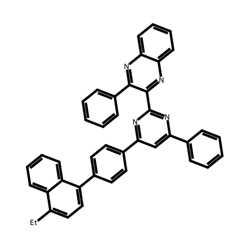 CCc1ccc(-c2ccc(-c3cc(-c4ccccc4)nc(-c4nc5ccccc5nc4-c4ccccc4)n3)cc2)c2ccccc12